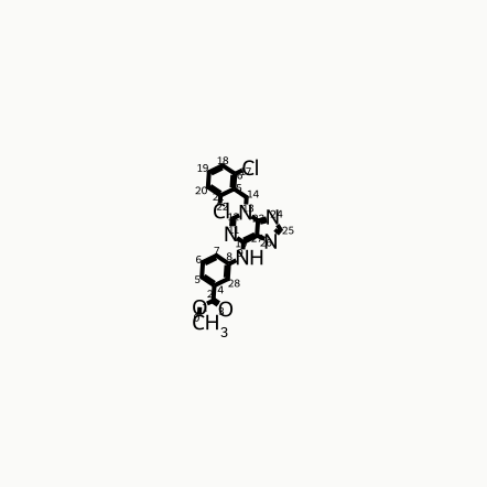 COC(=O)c1cccc(Nc2ncn(Cc3c(Cl)cccc3Cl)c3ncnc2-3)c1